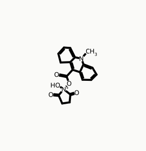 CN1C2=CC=CCC2=C(C(=O)O[N+]2(O)C(=O)CCC2=O)c2ccccc21